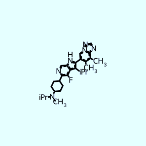 Cc1c(-c2[nH]c3cnc(C4CCC(N(C)C(C)C)CC4)c(F)c3c2C(C)C)cn2ncnc2c1C